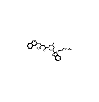 COCCCn1c(C2CC(C)CN(C(=O)CC(N)Cc3ccc4ccccc4c3)C2)nc2ccccc21